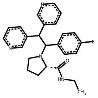 CCNC(=O)[C@@H]1CCCN1C(c1ccc(F)cc1)C(c1cccnc1)c1cccnc1